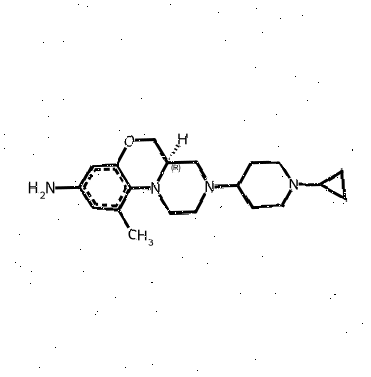 Cc1cc(N)cc2c1N1CCN(C3CCN(C4CC4)CC3)C[C@@H]1CO2